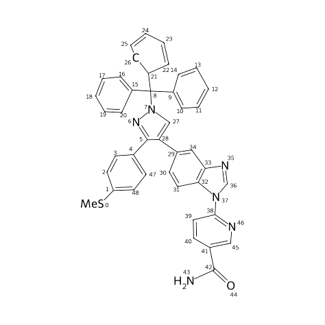 CSc1ccc(-c2nn(C(c3ccccc3)(c3ccccc3)C3C=CC=CC3)cc2-c2ccc3c(c2)ncn3-c2ccc(C(N)=O)cn2)cc1